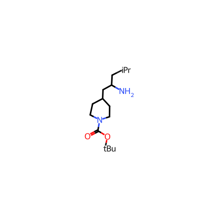 CC(C)CC(N)CC1CCN(C(=O)OC(C)(C)C)CC1